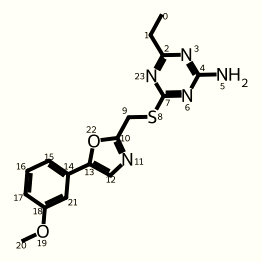 CCc1nc(N)nc(SCc2ncc(-c3cccc(OC)c3)o2)n1